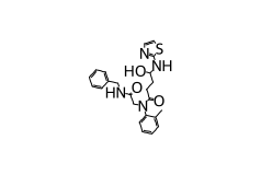 Cc1ccccc1N(CC(=O)NCc1ccccc1)C(=O)CCC(O)Nc1nccs1